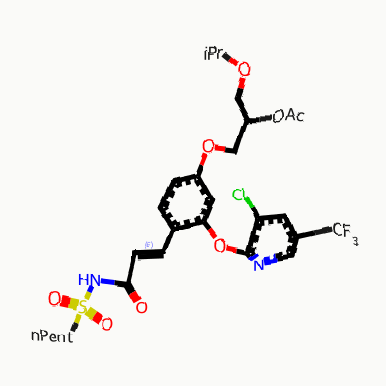 CCCCCS(=O)(=O)NC(=O)/C=C/c1ccc(OCC(COC(C)C)OC(C)=O)cc1Oc1ncc(C(F)(F)F)cc1Cl